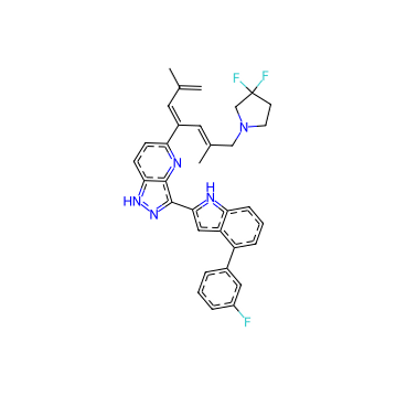 C=C(C)/C=C(\C=C(/C)CN1CCC(F)(F)C1)c1ccc2[nH]nc(-c3cc4c(-c5cccc(F)c5)cccc4[nH]3)c2n1